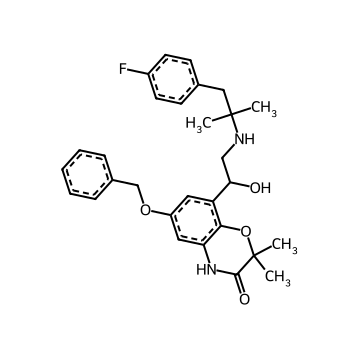 CC(C)(Cc1ccc(F)cc1)NCC(O)c1cc(OCc2ccccc2)cc2c1OC(C)(C)C(=O)N2